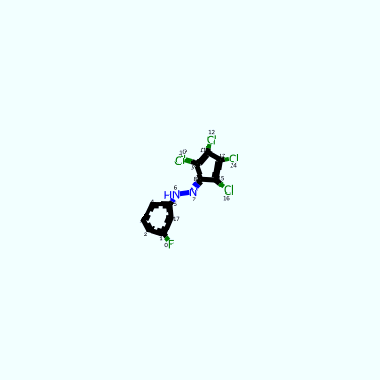 Fc1cccc(NN=C2C(Cl)=C(Cl)C(Cl)=C2Cl)c1